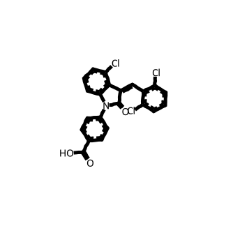 O=C(O)c1ccc(N2C(=O)/C(=C\c3c(Cl)cccc3Cl)c3c(Cl)cccc32)cc1